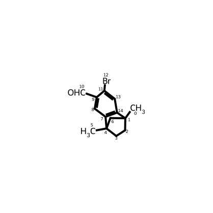 CC12CCC(C)(C1)c1cc(C=O)c(Br)cc12